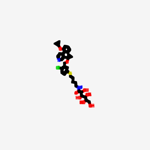 O=C(NCCCCCSc1ccc(Cl)c(COC2(c3cnccc3-c3ccccc3OC3CC3)CC2)c1)C(O)C(O)C(O)C(O)CO